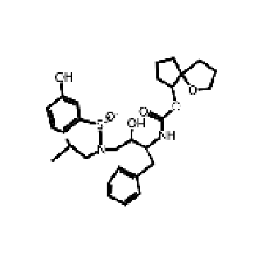 CC(C)CN(C[C@@H](O)[C@H](Cc1ccccc1)NC(=O)OC1CCCC12CCCO2)[S+]([O-])c1cccc(O)c1